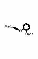 COC#COc1ccccc1OC